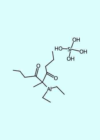 CCCC(=O)[C](C)(C(=O)CCC)[Al]([CH2]C)[CH2]C.O[Si](O)(O)O